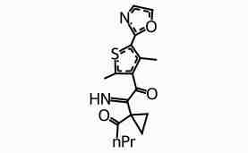 CCCC(=O)C1(C(=N)C(=O)c2c(C)sc(-c3ncco3)c2C)CC1